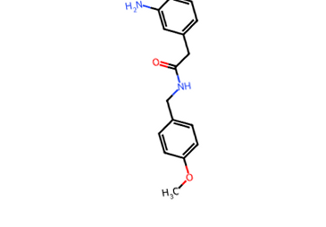 COc1ccc(CNC(=O)Cc2cccc(N)c2)cc1